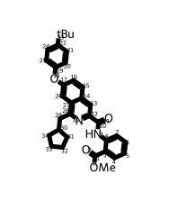 COC(=O)c1ccccc1NC(=O)c1cc2ccc(Oc3ccc(C(C)(C)C)cc3)cc2c(CC2CCCC2)n1